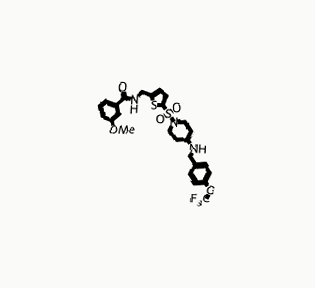 COc1cccc(C(=O)NCc2ccc(S(=O)(=O)N3CCC(NCc4ccc(OC(F)(F)F)cc4)CC3)s2)c1